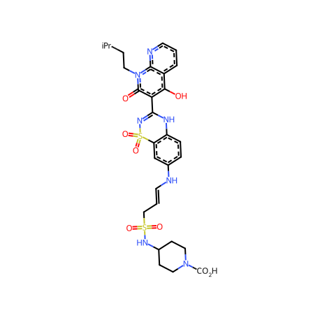 CC(C)CCn1c(=O)c(C2=NS(=O)(=O)c3cc(NC=CCS(=O)(=O)NC4CCN(C(=O)O)CC4)ccc3N2)c(O)c2cccnc21